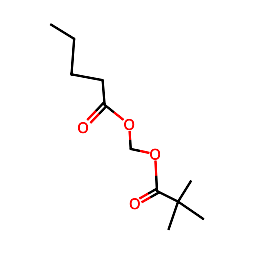 CCCCC(=O)OCOC(=O)C(C)(C)C